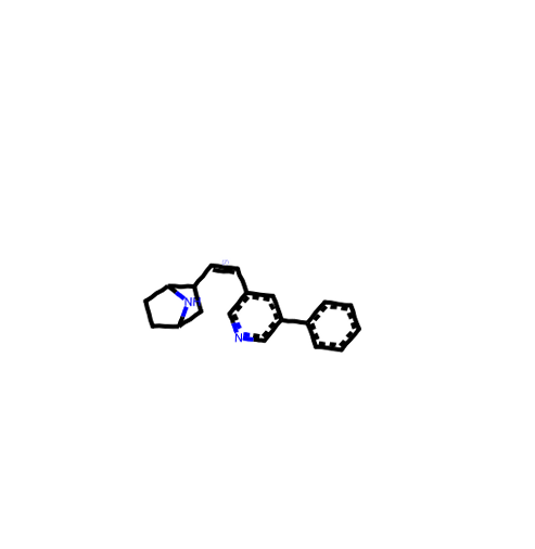 C(=C/C1CC2CCC1N2)/c1cncc(-c2ccccc2)c1